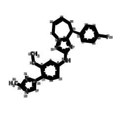 COc1cc(Nc2nc3n(n2)CC=CC[C@H]3c2ccc(F)cc2)ccc1-n1cnc(C)n1